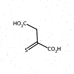 O=C(O)CC(=S)C(=O)O